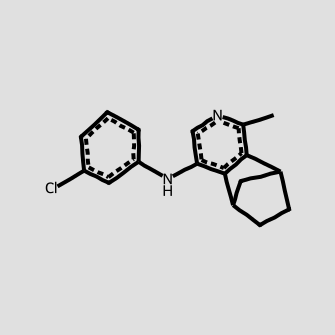 Cc1ncc(Nc2cccc(Cl)c2)c2c1C1CCC2C1